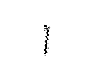 C=CS(=O)(=O)CCCCCCCCCCCC